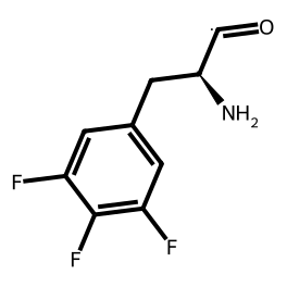 N[C@H]([C]=O)Cc1cc(F)c(F)c(F)c1